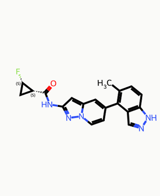 Cc1ccc2[nH]ncc2c1-c1ccn2nc(NC(=O)[C@@H]3C[C@@H]3F)cc2c1